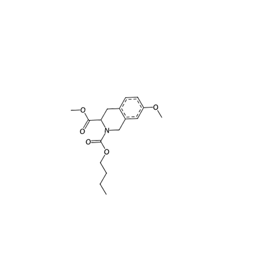 CCCCOC(=O)N1Cc2cc(OC)ccc2CC1C(=O)OC